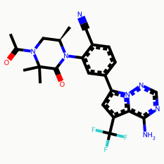 CC(=O)N1C[C@@H](C)N(c2cc(-c3cc(C(F)(F)F)c4c(N)ncnn34)ccc2C#N)C(=O)C1(C)C